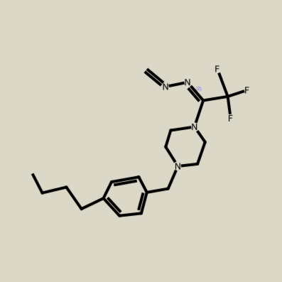 C=N/N=C(\N1CCN(Cc2ccc(CCCC)cc2)CC1)C(F)(F)F